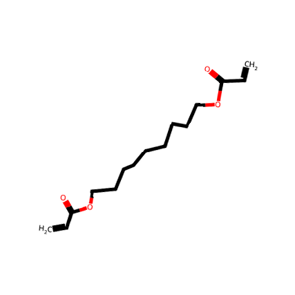 C=CC(=O)OCCCCCCCCCOC(=O)C=C